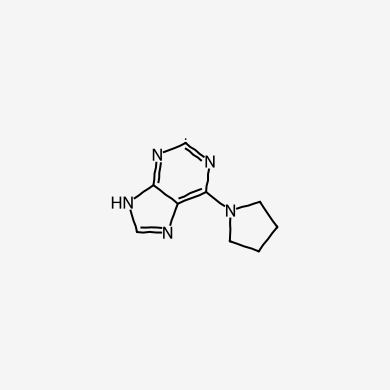 [c]1nc(N2CCCC2)c2nc[nH]c2n1